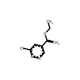 C=C(OCC)c1cnnc(Cl)c1